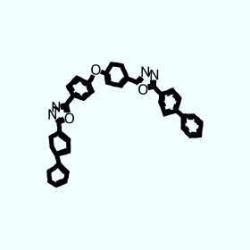 C1=CCCC(C2=CC=C(c3nnc(-c4ccc(OC5=CC=C(c6nnc(-c7ccc(-c8ccccc8)cc7)o6)CC5)cc4)o3)CC2)=C1